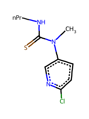 CCCNC(=S)N(C)c1ccc(Cl)nc1